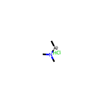 Cl.[CH3][Al][N](C)C